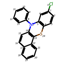 Clc1ccc2c(c1)N(c1ccccc1)c1ccc3ccccc3c1S2